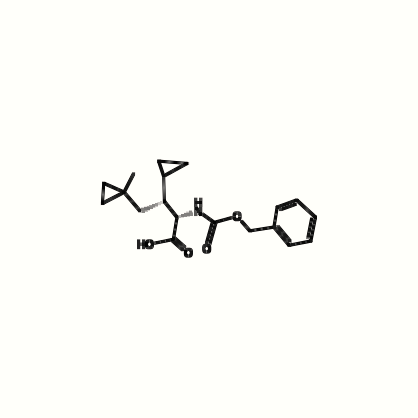 CC1(C[C@H](C2CC2)[C@H](NC(=O)OCc2ccccc2)C(=O)O)CC1